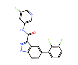 O=C(Nc1cncc(F)c1)c1n[nH]c2ccc(-c3cccc(F)c3F)cc12